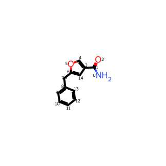 NC(=O)c1coc([CH]c2ccccc2)c1